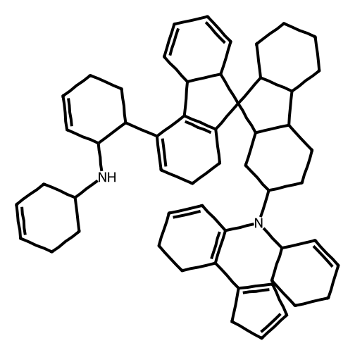 C1=CCC(C2=C(N(C3C=CCCC3)C3CCC4C5CCCCC5C5(C6=C(C(C7CCC=CC7NC7CC=CCC7)=CCC6)C6C=CC=CC65)C4C3)C=CCC2)=C1